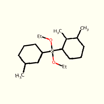 CCO[Si](OCC)(C1CCCC(C)C1)C1CCCC(C)C1C